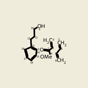 C=CC(=O)OC.C=CC=C.OCCCc1ccccc1